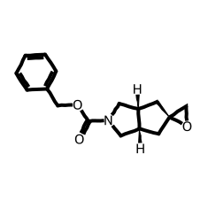 O=C(OCc1ccccc1)N1C[C@@H]2C[C@]3(CO3)C[C@@H]2C1